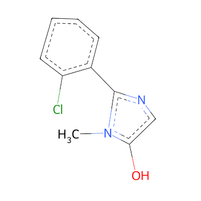 Cn1c(O)cnc1-c1ccccc1Cl